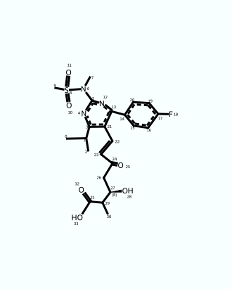 CC(C)c1nc(N(C)S(C)(=O)=O)nc(-c2ccc(F)cc2)c1C=CC(=O)C[C@@H](O)C(C)C(=O)O